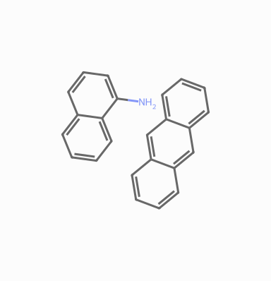 Nc1cccc2ccccc12.c1ccc2cc3ccccc3cc2c1